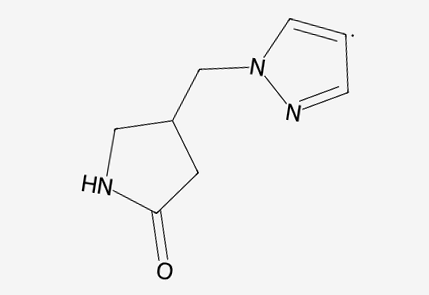 O=C1CC(Cn2c[c]cn2)CN1